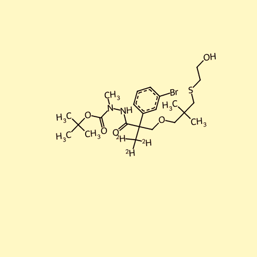 [2H]C([2H])([2H])C(COCC(C)(C)CSCCO)(C(=O)NN(C)C(=O)OC(C)(C)C)c1cccc(Br)c1